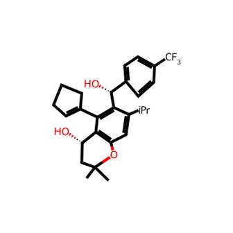 CC(C)c1cc2c(c(C3=CCCC3)c1[C@H](O)c1ccc(C(F)(F)F)cc1)[C@@H](O)CC(C)(C)O2